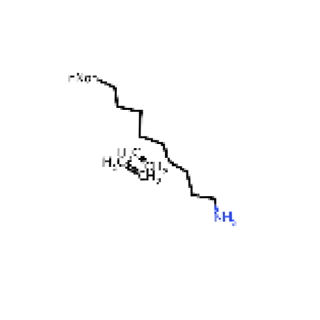 C=C.C=C.CCCCCCCCCCCCCCCCCCN